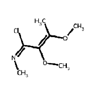 C/N=C(Cl)\C(OC)=C(/C)OC